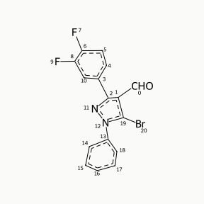 O=Cc1c(-c2ccc(F)c(F)c2)nn(-c2ccccc2)c1Br